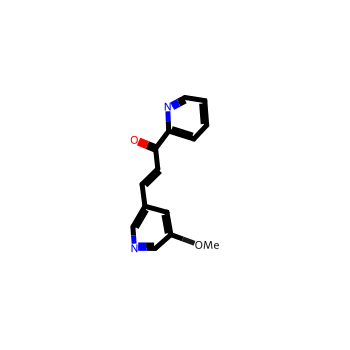 COc1cncc(C=CC(=O)c2ccccn2)c1